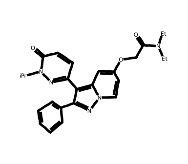 CCN(CC)C(=O)COc1ccn2nc(-c3ccccc3)c(-c3ccc(=O)n(C(C)C)n3)c2c1